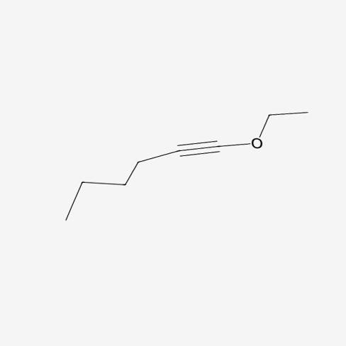 CCCCC#COCC